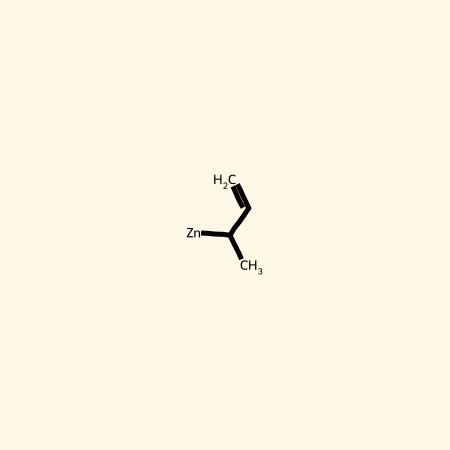 C=C[CH](C)[Zn]